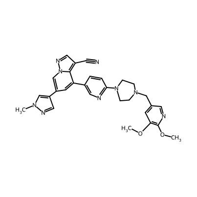 COc1cc(CN2CCN(c3ccc(-c4cc(-c5cnn(C)c5)cn5ncc(C#N)c45)cn3)CC2)cnc1OC